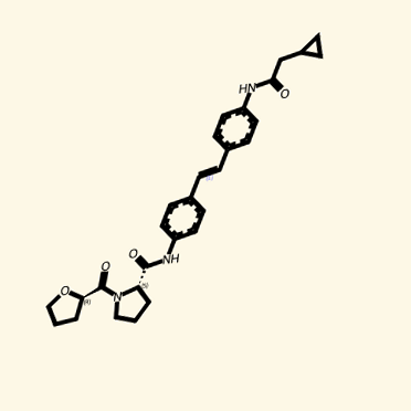 O=C(CC1CC1)Nc1ccc(/C=C/c2ccc(NC(=O)[C@@H]3CCCN3C(=O)[C@H]3CCCO3)cc2)cc1